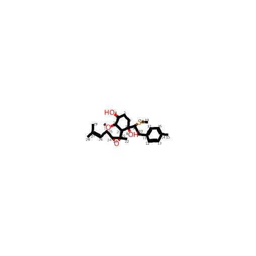 COC1C(O)CCC(O)(C(Cc2ccc(C)cc2)SC)C1C1(C)OC1CC=C(C)C